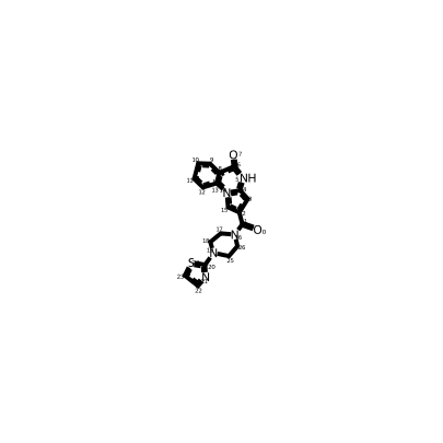 O=C(c1cc2[nH]c(=O)c3ccccc3n2c1)N1CCN(c2nccs2)CC1